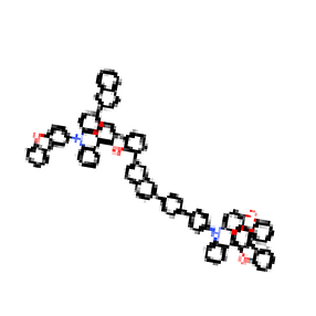 c1ccc(N(c2ccc(-c3ccc(-c4ccc5ccc(-c6cccc7c6oc6c(-c8ccccc8N(c8ccc(-c9ccc%10ccccc%10c9)cc8)c8ccc9oc%10ccccc%10c9c8)cccc67)cc5c4)cc3)cc2)c2ccc3oc4ccccc4c3c2)c(-c2cccc3c2oc2ccccc23)c1